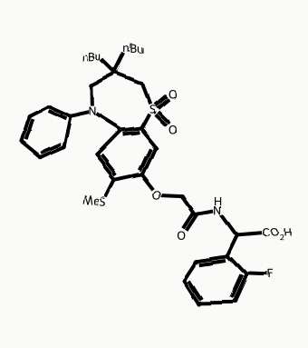 CCCCC1(CCCC)CN(c2ccccc2)c2cc(SC)c(OCC(=O)NC(C(=O)O)c3ccccc3F)cc2S(=O)(=O)C1